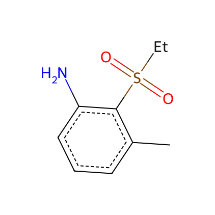 CCS(=O)(=O)c1c(C)cccc1N